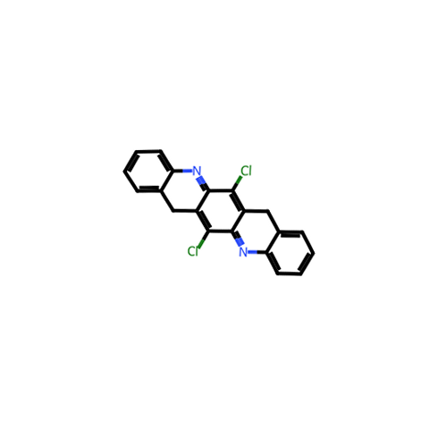 Clc1c2c(c(Cl)c3c1=Nc1ccccc1C3)=Nc1ccccc1C2